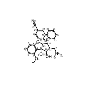 COc1cncc2c1[C@]1(O)[C@H](O)[C@H](CN(C)C)[C@@H](c3ccccc3)[C@]1(C1(C)C=CC(C#N)=CC1)O2